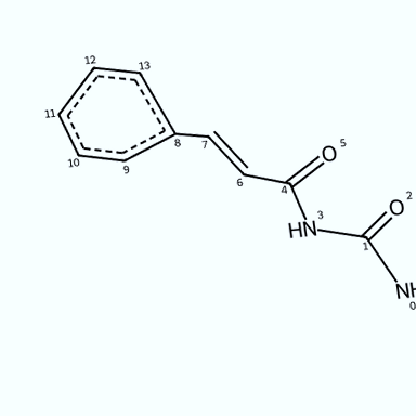 [NH]C(=O)NC(=O)C=Cc1ccccc1